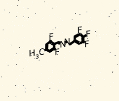 Cc1cc(F)c(C=NN=Cc2cc(F)c(F)c(F)c2)c(F)c1